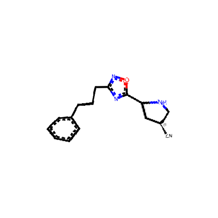 N#C[C@@H]1CNC(c2nc(CCCc3ccccc3)no2)C1